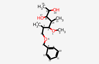 COC(C(C)COCc1ccccc1)C(C)C(O)C(C)O